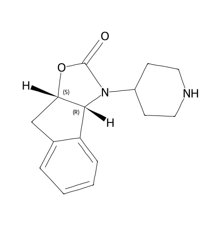 O=C1O[C@H]2Cc3ccccc3[C@H]2N1C1CCNCC1